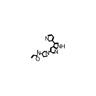 C=CC(=O)N(C)[C@@H]1CCN(c2cnc3[nH]cc(-c4cccnc4)c3c2)C1